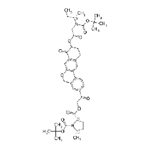 CC[C@H](C)N(CC(=O)OC1CCc2cc3c(cc2C1=O)OCc1cc(C(=O)COC(=O)[C@@H]2CC[C@H](C)N2C(=O)OC(C)(C)C)ccc1-3)C(=O)OC(C)(C)C